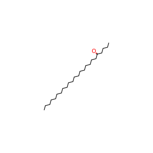 CCCCCCCCCCCCCCCCCCCC(=O)CCCC